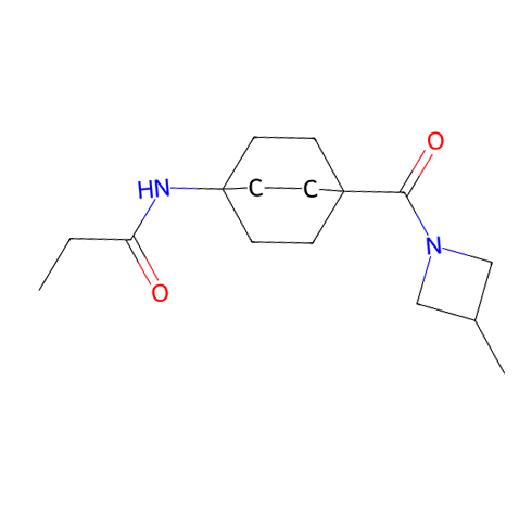 CCC(=O)NC12CCC(C(=O)N3CC(C)C3)(CC1)CC2